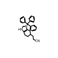 N#CCCC1CCC2=C(C1)N(C(c1ccccc1)(c1ccccc1)c1ccccc1)CN2